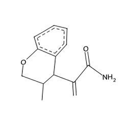 C=C(C(N)=O)C1c2ccccc2OCC1C